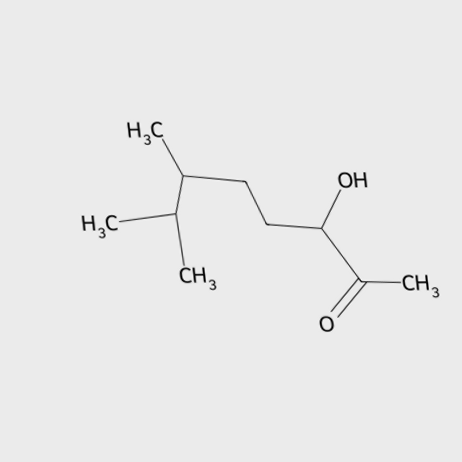 CC(=O)C(O)CCC(C)C(C)C